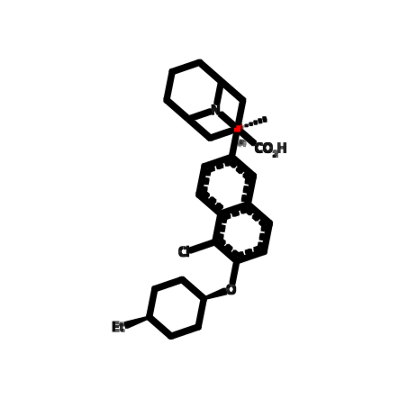 CC[C@H]1CC[C@@H](Oc2ccc3cc([C@@H](C)N4C5CCCC4CC(C(=O)O)C5)ccc3c2Cl)CC1